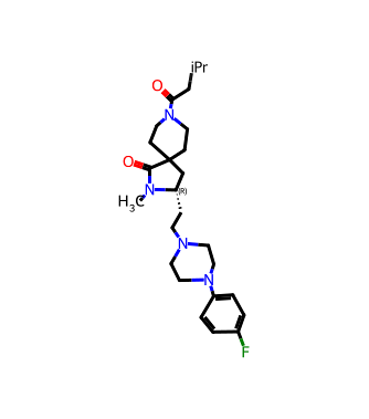 CC(C)CC(=O)N1CCC2(CC1)C[C@H](CCN1CCN(c3ccc(F)cc3)CC1)N(C)C2=O